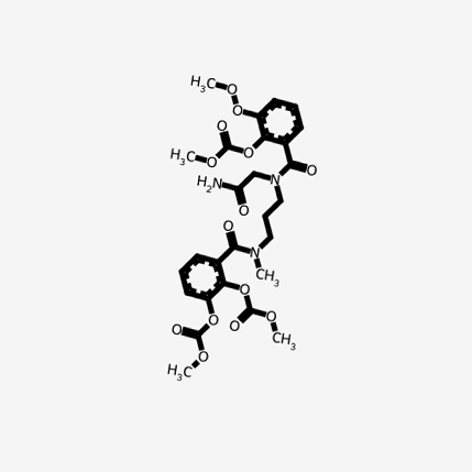 COOc1cccc(C(=O)N(CCCN(C)C(=O)c2cccc(OC(=O)OC)c2OC(=O)OC)CC(N)=O)c1OC(=O)OC